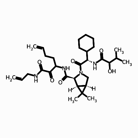 C=CCCC(NC(=O)[C@@H]1[C@H]2[C@@H](CN1C(=O)[C@@H](NC(=O)C(O)C(C)C)C1CCCCC1)C2(C)C)C(=O)C(=O)NCC=C